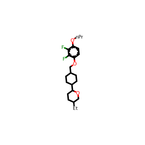 CCCOc1ccc(OCC2CCC(C3CCC(CC)CO3)CC2)c(F)c1F